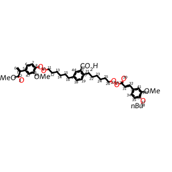 C=C(C(=O)OC)c1ccc(OOCCCCCCc2ccc(CCCCCCOOC(=O)C=Cc3ccc(OCCCC)c(OC)c3)c(C(=O)O)c2)c(OC)c1